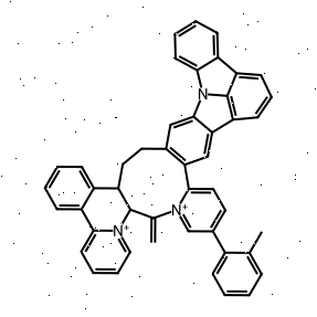 C=C1C2C(CCc3cc4c(cc3-c3ccc(-c5ccccc5C)c[n+]31)c1cccc3c5ccccc5n4c31)c1ccccc1-c1cccc[n+]12